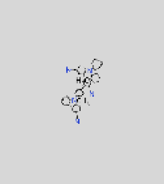 CC1CCCc2c3c(n(C4=C(C5C=C(c6ccc(N7c8ccccc8C8C=C(C#N)C=CC87C)cc6)C(C#N)=CC5)C=C(C#N)CC4)c21)CC=CC=C3